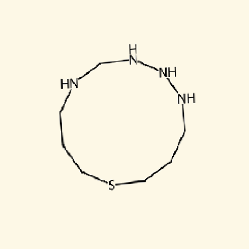 C1CNCNNNCCCSC1